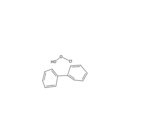 OOCl.c1ccc(-c2ccccc2)cc1